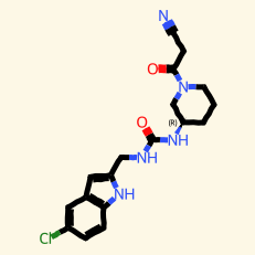 N#CCC(=O)N1CCC[C@@H](NC(=O)NCc2cc3cc(Cl)ccc3[nH]2)C1